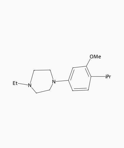 CCN1CCN(c2ccc(C(C)C)c(OC)c2)CC1